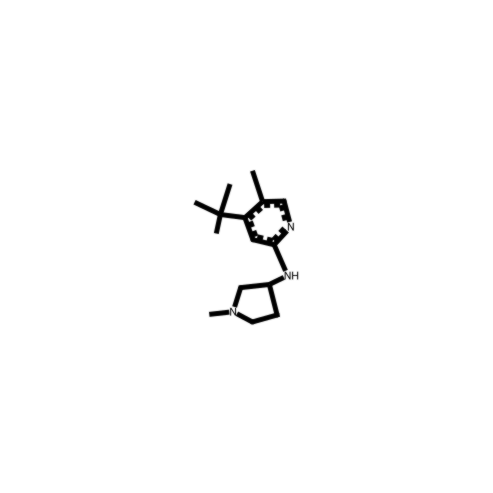 Cc1cnc(NC2CCN(C)C2)cc1C(C)(C)C